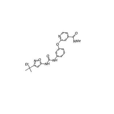 CCC(C)(C)c1cc(NC(=O)Nc2cccc(Oc3cc(C(=O)NC)ccn3)c2)on1